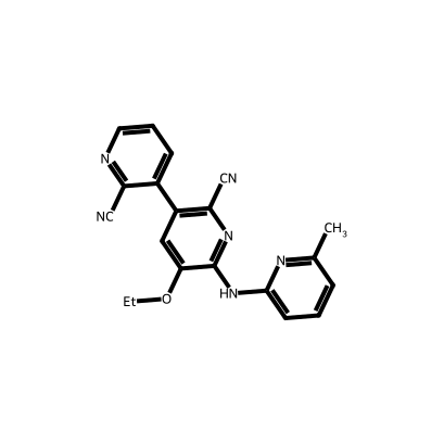 CCOc1cc(-c2cccnc2C#N)c(C#N)nc1Nc1cccc(C)n1